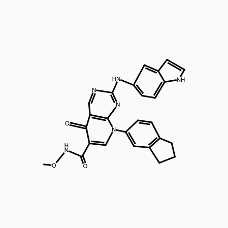 CONC(=O)c1cn(-c2ccc3c(c2)CCC3)c2nc(Nc3ccc4[nH]ccc4c3)ncc2c1=O